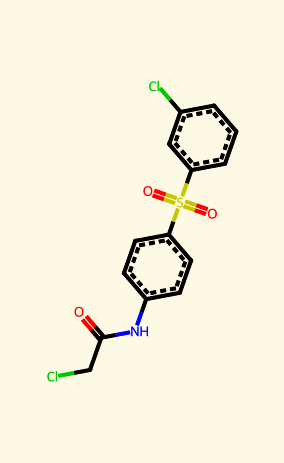 O=C(CCl)Nc1ccc(S(=O)(=O)c2cccc(Cl)c2)cc1